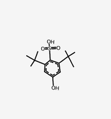 CC(C)(C)c1cc(O)cc(C(C)(C)C)c1S(=O)(=O)O